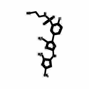 Cc1cc(Nc2nc(C)c(-c3ccc(Cl)c(S(=O)(=O)NCCO)c3)s2)n(C)n1